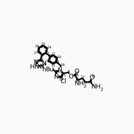 CCCCc1nc(Cl)c(COC(=O)[C@H](N)CCC(N)=O)n1Cc1ccc(-c2ccccc2-c2nn[nH]n2)cc1